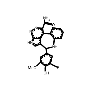 COc1cc(C2Nc3ccccc3-c3c(C(N)=O)nnc4[nH]cc2c34)cc(F)c1O